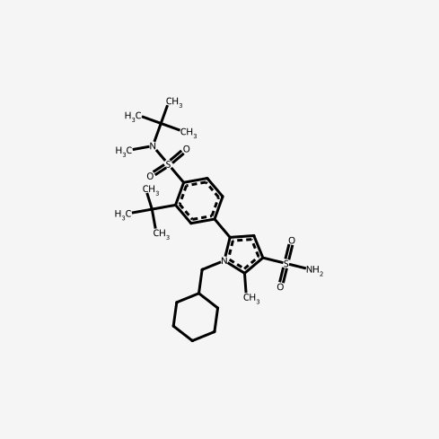 Cc1c(S(N)(=O)=O)cc(-c2ccc(S(=O)(=O)N(C)C(C)(C)C)c(C(C)(C)C)c2)n1CC1CCCCC1